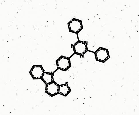 c1ccc(-c2nc(-c3ccccc3)nc(-c3ccc(-n4c5ccccc5c5ccc6ccsc6c54)cc3)n2)cc1